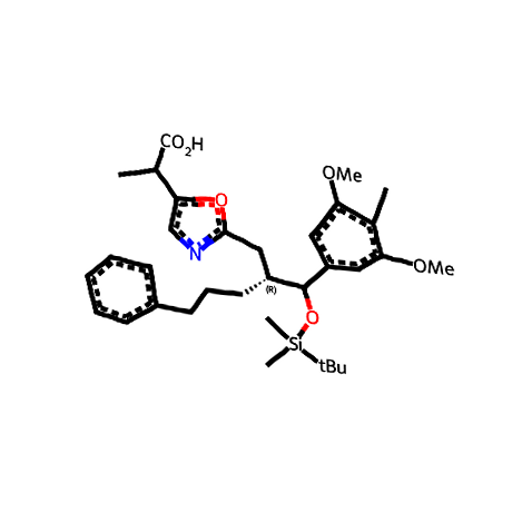 COc1cc(C(O[Si](C)(C)C(C)(C)C)[C@H](CCCc2ccccc2)Cc2ncc(C(C)C(=O)O)o2)cc(OC)c1C